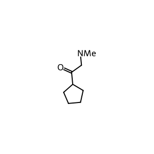 [CH2]NCC(=O)C1CCCC1